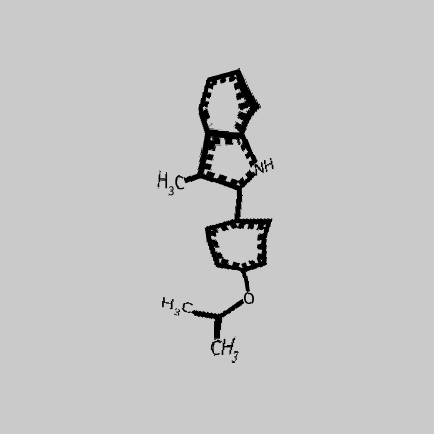 Cc1c(-c2ccc(OC(C)C)cc2)[nH]c2ccccc12